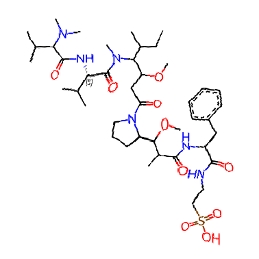 CCC(C)C(C(CC(=O)N1CCCC1C(OC)C(C)C(=O)NC(Cc1ccccc1)C(=O)NCCS(=O)(=O)O)OC)N(C)C(=O)[C@@H](NC(=O)C(C(C)C)N(C)C)C(C)C